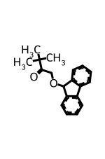 CC(C)(C)C(=O)COC1c2ccccc2-c2ccccc21